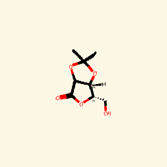 CC1(C)OC2C(=O)O[C@@H](CO)[C@H]2O1